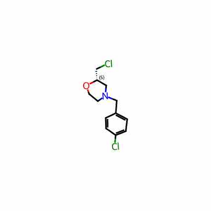 ClC[C@@H]1CN(Cc2ccc(Cl)cc2)CCO1